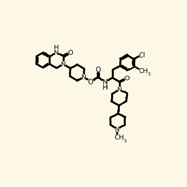 Cc1cc(CC(NC(=O)ON2CCC(N3Cc4ccccc4NC3=O)CC2)C(=O)N2CCC(C3CCN(C)CC3)CC2)ccc1Cl